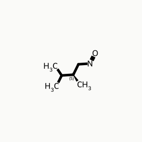 CC(C)[C@H](C)CN=O